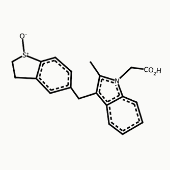 Cc1c(Cc2ccc3c(c2)CC[S+]3[O-])c2ccccc2n1CC(=O)O